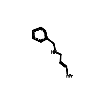 CCCC=CCNCc1ccccc1